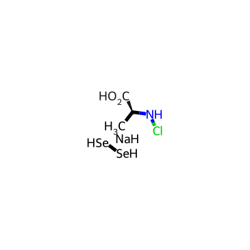 C[C@H](NCl)C(=O)O.[NaH].[SeH][SeH]